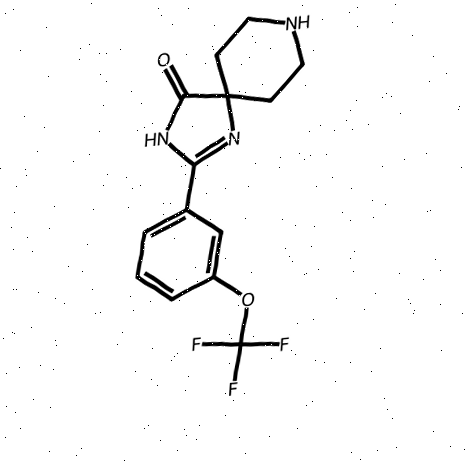 O=C1NC(c2cccc(OC(F)(F)F)c2)=NC12CCNCC2